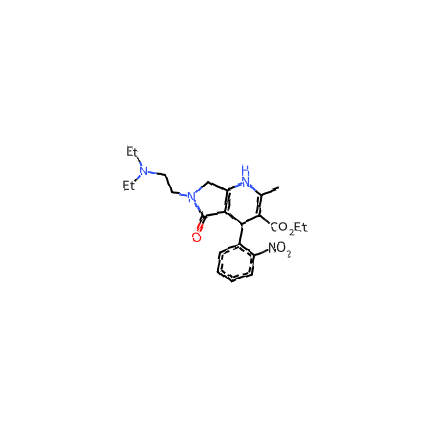 CCOC(=O)C1=C(C)NC2=C(C(=O)N(CCN(CC)CC)C2)C1c1ccccc1[N+](=O)[O-]